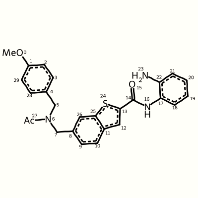 COc1ccc(CN(Cc2ccc3cc(C(=O)Nc4ccccc4N)sc3c2)C(C)=O)cc1